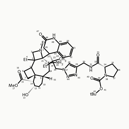 CCN1CC2(CC)C3CC[C@]34[C@@H](CC[C@H](O)[C@@H]4C(=O)OC)CN(N)[C@@]12[C@@]1(C(C)(CC)Cn2cc(CNC(=O)[C@@H]3CCCN3C(=O)OC(C)(C)C)nn2)CC(=O)Nc2ccccc21